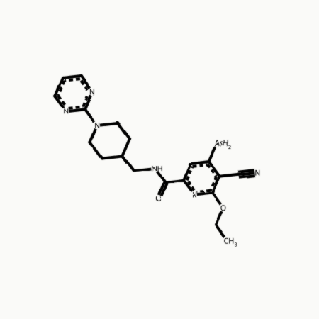 CCOc1nc(C(=O)NCC2CCN(c3ncccn3)CC2)cc([AsH2])c1C#N